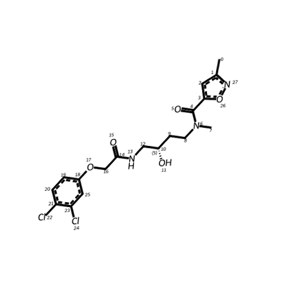 Cc1cc(C(=O)N(C)CC[C@H](O)CNC(=O)COc2ccc(Cl)c(Cl)c2)on1